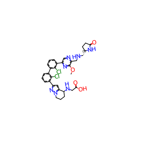 COc1nc(-c2cccc(-c3cccc(-c4cc5n(n4)CCCC5NCC(=O)O)c3Cl)c2Cl)cnc1CNC[C@@H]1CCC(=O)N1